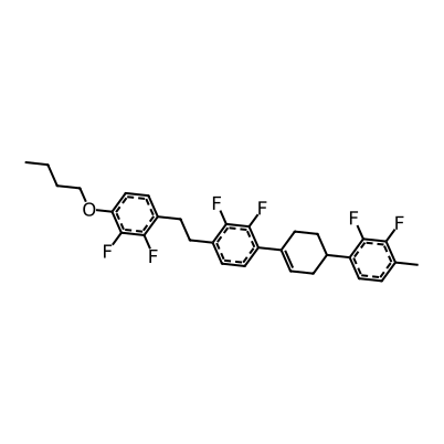 CCCCOc1ccc(CCc2ccc(C3=CCC(c4ccc(C)c(F)c4F)CC3)c(F)c2F)c(F)c1F